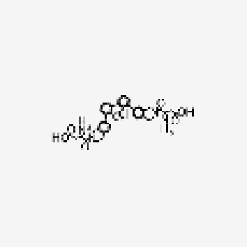 NC(CC(=O)O)C(=O)N1CCc2ccc(-c3cccc(-c4cccc(-c5ccc6c(c5)CN(C(=O)C(N)CC(=O)O)CC6)c4Cl)c3Cl)cc2C1